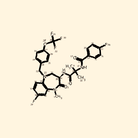 CN1C(=O)[C@H](NC(=O)C(C)(C)NC(=O)c2ccc(F)cc2)CN(Cc2ccc(OC(F)(F)F)cc2)c2ccc(F)cc21